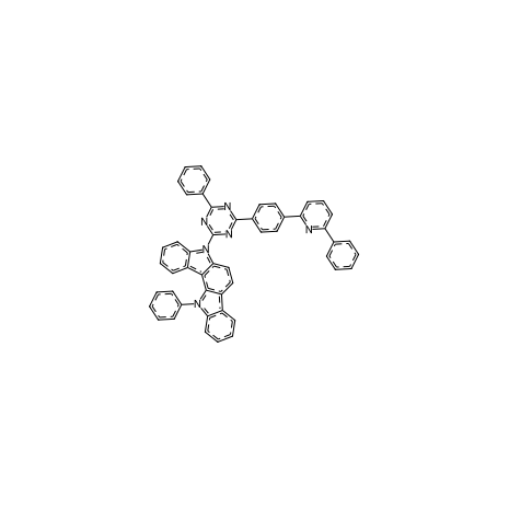 c1ccc(-c2cccc(-c3ccc(-c4nc(-c5ccccc5)nc(-n5c6ccccc6c6c5ccc5c7ccccc7n(-c7ccccc7)c56)n4)cc3)n2)cc1